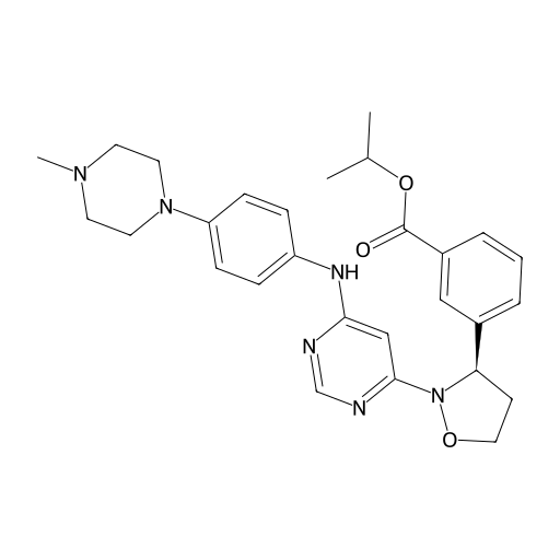 CC(C)OC(=O)c1cccc([C@H]2CCON2c2cc(Nc3ccc(N4CCN(C)CC4)cc3)ncn2)c1